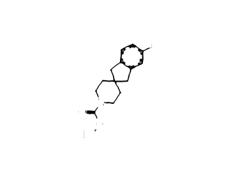 Cc1ccc2c(c1)CC1(CCN(C(=O)OC(C)(C)C)CC1)C2